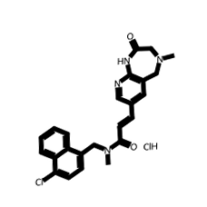 CN1CC(=O)Nc2ncc(C=CC(=O)N(C)Cc3ccc(Cl)c4ccccc34)cc2C1.Cl